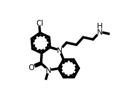 CNCCCCN1c2cc(Cl)ccc2C(=O)N(C)c2ccccc21